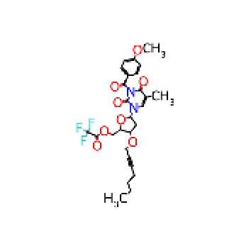 CCCCC#CCO[C@H]1C[C@H](n2cc(C)c(=O)n(C(=O)c3ccc(OC)cc3)c2=O)O[C@@H]1COC(=O)C(F)(F)F